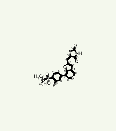 CN(C)S(=O)(=O)c1ccc(-c2cncc3cc(C=C4SC(=O)NC4=O)oc23)cc1F